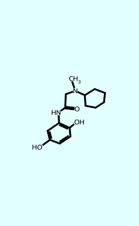 CN(CC(=O)Nc1cc(O)ccc1O)C1CCCCC1